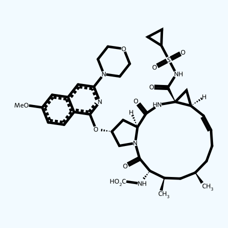 COc1ccc2c(O[C@@H]3C[C@H]4C(=O)N[C@]5(C(=O)NS(=O)(=O)C6CC6)C[C@H]5C=CCC[C@@H](C)C[C@@H](C)[C@H](NC(=O)O)C(=O)N4C3)nc(N3CCOCC3)cc2c1